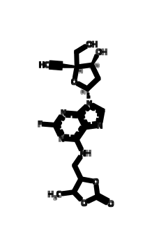 C#C[C@]1(CO)O[C@@H](n2cnc3c(NCC4OC(=O)OC4C)nc(F)nc32)C[C@@H]1O